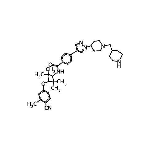 Cc1cc(OC2C(C)(C)C(NC(=O)c3ccc(-c4cnn(C5CCN(CC6CCNCC6)CC5)c4)cc3)C2(C)C)ccc1C#N